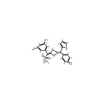 CS(=O)(=O)C(=C1CN(C(c2ccc(Cl)cc2)c2cccs2)C1)c1cc(F)cc(F)c1